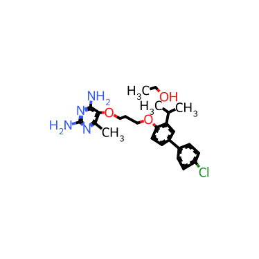 CCO.Cc1nc(N)nc(N)c1OCCCOc1ccc(-c2ccc(Cl)cc2)cc1C(C)C